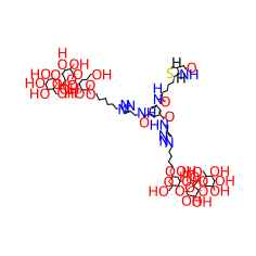 O=C(CCCC[C@H]1SC[C@H]2CC(=O)N[C@H]21)Nc1cc(C(=O)NCc2cn(CCCCCCO[C@@H]3OC(CO)[C@@H](O[C@@H]4OC(CO)[C@H](O[C@@H]5OC(CO)[C@H](O)[C@H](O)C5O)[C@H](O)C4O)[C@H](O)C3O)nn2)cc(C(=O)NCc2cn(CCCCCO[C@@H]3OC(CO)[C@@H](O[C@@H]4OC(CO)[C@H](O[C@@H]5OC(CO)[C@H](O)[C@H](O)C5O)[C@H](O)C4O)[C@H](O)C3O)nn2)c1